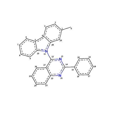 Cc1ccc2c3ccccc3n(-c3nc(-c4ccccc4)nc4ccccc34)c2c1